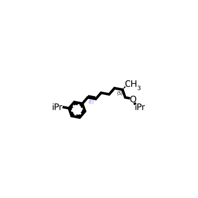 CC(C)OC[C@@H](C)CCC/C=C/c1cccc(C(C)C)c1